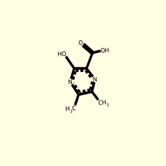 Cc1nc(O)c(C(=O)O)nc1C